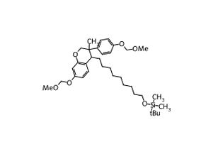 COCOc1ccc(C2(C)COc3cc(OCOC)ccc3C2CCCCCCCCCO[Si](C)(C)C(C)(C)C)cc1